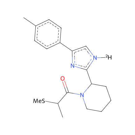 [2H]n1cc(-c2ccc(C)cc2)nc1C1CCCCN1C(=O)C(C)SC